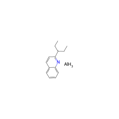 CC[C](CC)c1ccc2ccccc2n1.[AlH3]